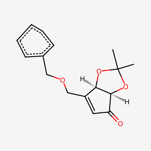 CC1(C)O[C@@H]2C(COCc3ccccc3)=CC(=O)[C@@H]2O1